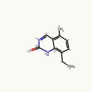 COCc1ccc(C)c2cnc(=O)[nH]c12